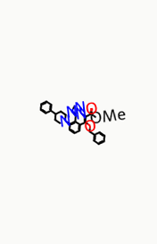 COC(=O)c1c(OCc2ccccc2)c2cccc(N3CCC(c4ccccc4)CC3)c2c2ncnn12